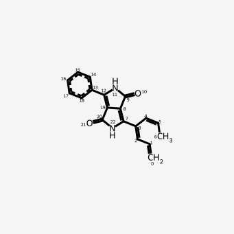 C=C/C=C(\C=C/C)C1=C2C(=O)NC(c3ccccc3)=C2C(=O)N1